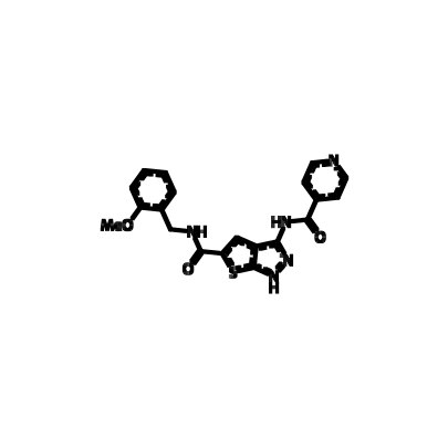 COc1ccccc1CNC(=O)c1cc2c(NC(=O)c3ccncc3)n[nH]c2s1